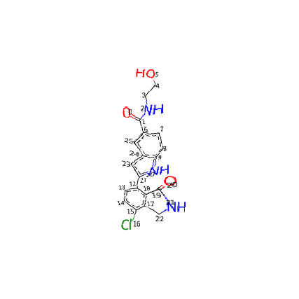 O=C(NCCO)c1ccc2[nH]c(-c3ccc(Cl)c4c3C(=O)NC4)cc2c1